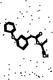 C#CC(I)OC(=O)Cc1cccc(Oc2ccccc2)c1